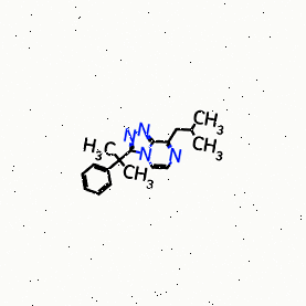 CC(C)Cc1nccn2c(C(C)(C)c3ccccc3)nnc12